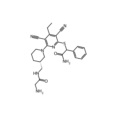 CCc1c(C#N)c(SC(C(N)=O)c2ccccc2)nc(N2CCC[C@@H](CNC(=O)CN)C2)c1C#N